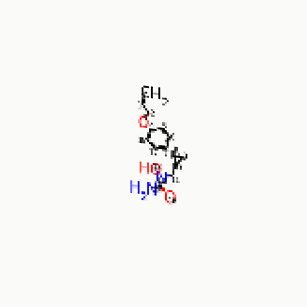 C=CCOc1ccc([C@@H]2C[C@H]2CN(O)C(N)=O)cc1